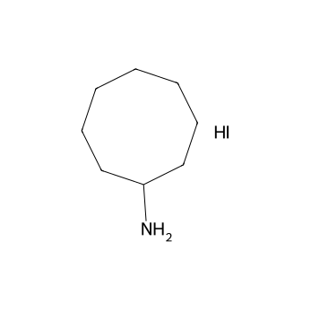 I.NC1CCCCCCC1